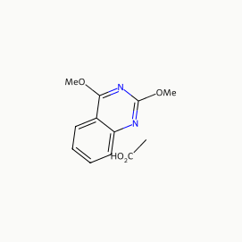 CC(=O)O.COc1nc(OC)c2ccccc2n1